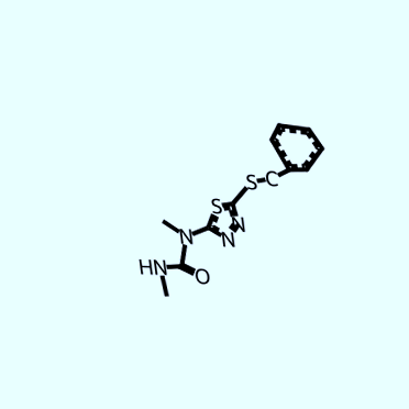 CNC(=O)N(C)c1nnc(SCc2ccccc2)s1